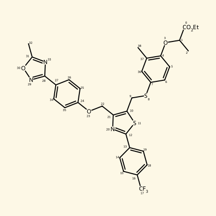 CCOC(=O)C(C)Oc1ccc(SCc2sc(-c3ccc(C(F)(F)F)cc3)nc2COc2ccc(-c3noc(C)n3)cc2)cc1C